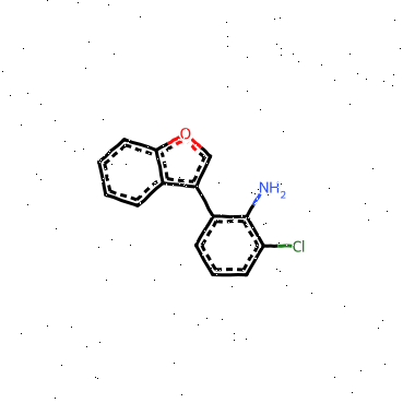 Nc1c(Cl)cccc1-c1coc2ccccc12